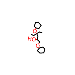 CCC(CC)(CC(O)COC1CCCCC1)OC1CCCCC1